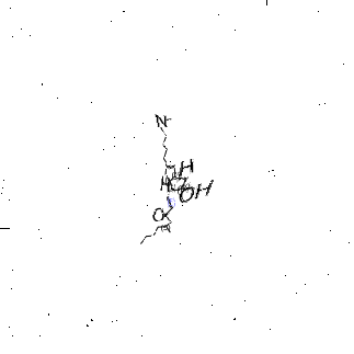 CCCC[C@H](C)CC(=O)/C=C/[C@@H]1[C@H]2CC(CCCCCN(C)C)=C[C@H]2C[C@H]1O